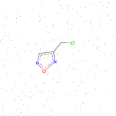 ClCc1cnon1